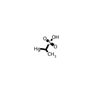 C[CH]([Hg])S(=O)(=O)O